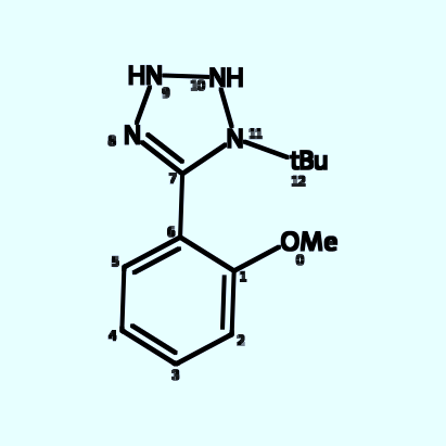 COc1ccccc1C1=NNNN1C(C)(C)C